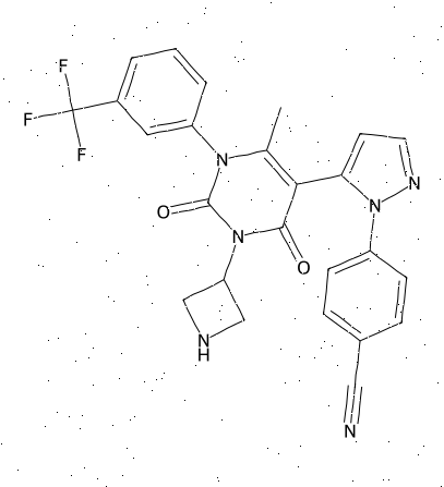 Cc1c(-c2ccnn2-c2ccc(C#N)cc2)c(=O)n(C2CNC2)c(=O)n1-c1cccc(C(F)(F)F)c1